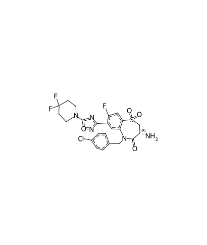 N[C@H]1CS(=O)(=O)c2cc(F)c(-c3noc(N4CCC(F)(F)CC4)n3)cc2N(Cc2ccc(Cl)cc2)C1=O